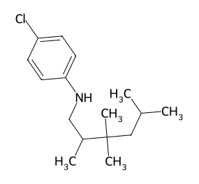 CC(C)CC(C)(C)C(C)CNc1ccc(Cl)cc1